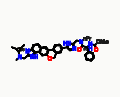 CCCN(Cc1ncc(-c2ccc3c(c2)COc2cc4c(ccc5nc(CN(C)C6C(C)[C@H]6C)[nH]c54)cc2-3)[nH]1)C(=O)[C@H](NC(=O)OC)c1ccccc1